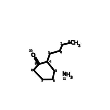 CCCCC1CCCCC1=O.N